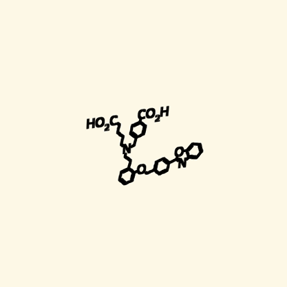 O=C(O)CCCCN(CCc1ccccc1OCc1ccc(-c2nc3ccccc3o2)cc1)Cc1ccc(C(=O)O)cc1